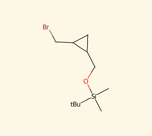 CC(C)(C)[Si](C)(C)OCC1CC1CBr